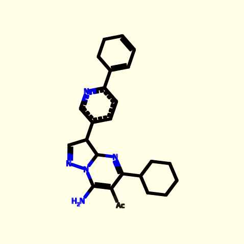 CC(=O)C1=C(N)N2N=CC(c3ccc(C4=CC=CCC4)nc3)C2N=C1C1CCCCC1